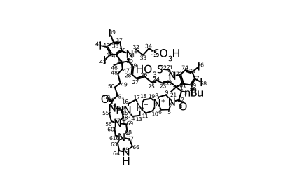 CCCCC(C(=O)N1CC[N+]2(CC1)CC[N+]1(CCNCC1)CC2)C1(C)/C(=C/C=C/C=C/C=C/C2=[N+](CCCS(=O)(=O)O)c3cc(I)c(I)c(I)c3C2(C)CCCCCC(=O)N2CC[N+]3(CC2)CC[N+]2(CCNCC2)CC3)N(CS(=O)(=O)O)c2cc(I)c(I)c(I)c21